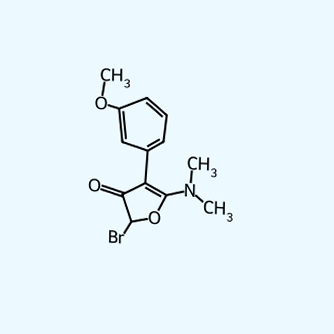 COc1cccc(C2=C(N(C)C)OC(Br)C2=O)c1